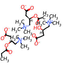 CC(=O)O[C@H](CC(=O)[O-])C[N+](C)(C)C.CCC(=O)O[C@H](CC(=O)[O-])C[N+](C)(C)C.C[N+](C)(C)C[C@H](O)CC(=O)[O-]